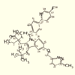 CCC(CC)(Cc1c(SC(C)(C)C)c2cc(OCc3ccc(C)nn3)ccc2n1Cc1ccc(-c2ccc(F)cn2)cc1)C(=O)O